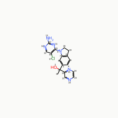 CC(O)(c1ccc2c(c1)N(c1nc(N)ncc1Cl)CC2)c1cnccn1